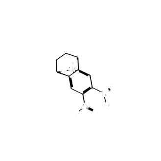 O=[N+]([O-])c1cc2c(cc1[N+](=O)[O-])C1CCC2CNC1